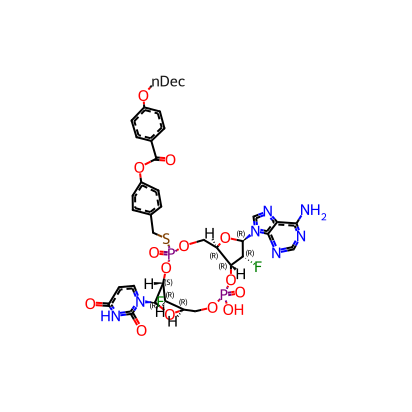 CCCCCCCCCCOc1ccc(C(=O)Oc2ccc(CSP3(=O)OC[C@H]4O[C@@H](n5cnc6c(N)ncnc65)[C@H](F)[C@@H]4OP(=O)(O)OC[C@H]4O[C@@H](n5ccc(=O)[nH]c5=O)[C@H](O3)[C@@H]4F)cc2)cc1